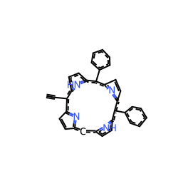 C#Cc1c2nc(cc3ccc([nH]3)c(-c3ccccc3)c3nc(c(-c4ccccc4)c4ccc1[nH]4)C=C3)C=C2